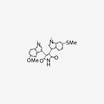 COc1ccc2c(c1)c(C1=C(c3cn(C)c4cc(SC)ccc34)C(=O)NC1=O)cn2C